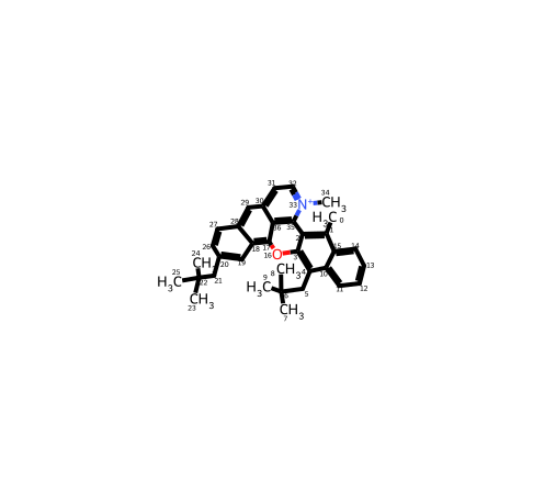 Cc1c2c(c(CC(C)(C)C)c3ccccc13)Oc1c3cc(CC(C)(C)C)ccc3cc3cc[n+](C)c-2c13